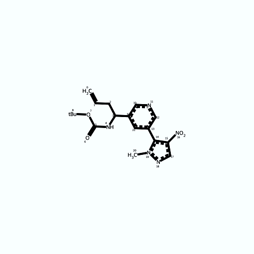 C=CCC(NC(=O)OC(C)(C)C)c1cncc(-c2c([N+](=O)[O-])cnn2C)c1